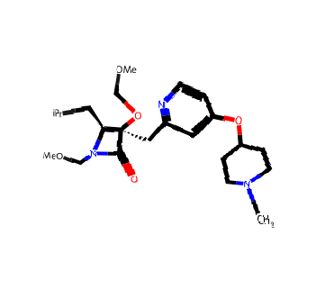 COCO[C@@]1(Cc2cc(OC3CCN(C)CC3)ccn2)C(=O)N(COC)[C@H]1CC(C)C